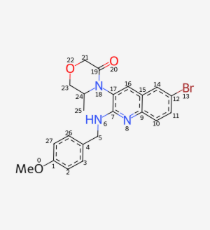 COc1ccc(CNc2nc3ccc(Br)cc3cc2N2C(=O)COCC2C)cc1